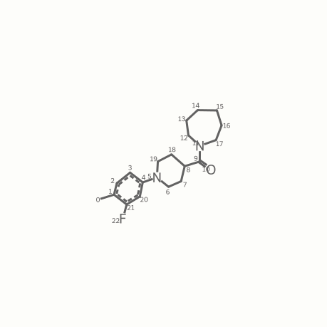 Cc1ccc(N2CCC(C(=O)N3CCCCCC3)CC2)cc1F